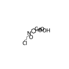 CN(C(=O)CCCCl)c1cc[c]([Ge][O]OO)cc1